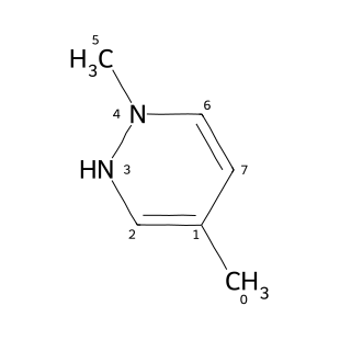 CC1=CNN(C)C=C1